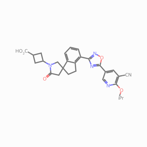 CC(C)Oc1ncc(-c2nc(-c3cccc4c3CCC43CC(=O)N(C4CC(C(=O)O)C4)C3)no2)cc1C#N